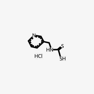 Cl.S=C(S)NCc1cccnc1